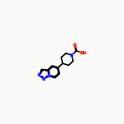 O=C(O)N1CCC(c2ccn3nncc3c2)CC1